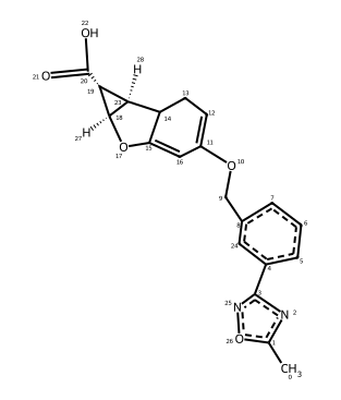 Cc1nc(-c2cccc(COC3=CCC4C(=C3)O[C@H]3[C@H](C(=O)O)[C@@H]43)c2)no1